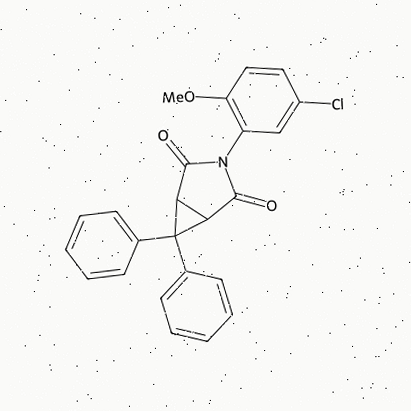 COc1ccc(Cl)cc1N1C(=O)C2C(C1=O)C2(c1ccccc1)c1ccccc1